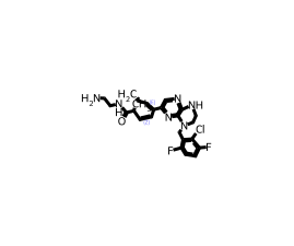 C=C/C=C(\C=C/C(C)C(=O)NCCN)c1cnc2c(n1)N(Cc1c(F)ccc(F)c1Cl)CCN2